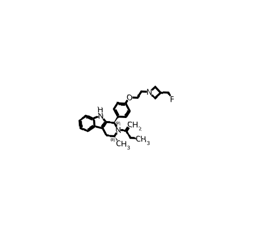 C=C(CC)N1[C@H](c2ccc(OCCN3CC(CF)C3)cc2)c2[nH]c3ccccc3c2C[C@H]1C